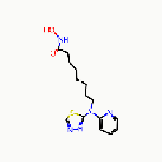 O=C(CCCCCCCN(c1ccccn1)c1nncs1)NO